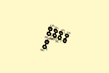 CC12CCC(c3ccc(C#N)c(F)c3)(CC1)CC2.CCC12CCC(c3ccc(C#N)c(F)c3)(CC1)CC2.CCCC12CCC(c3ccc(C#N)c(F)c3)(CC1)CC2.CCCCCC12CCC(c3ccc(C#N)c(F)c3)(CC1)CC2.N#Cc1ccc(C23CCC(CC2)CC3)cc1F